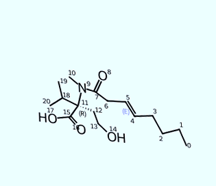 CCCC/C=C/CC(=O)N(C)[C@@](CCO)(C(=O)O)C(C)C